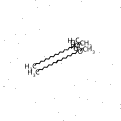 CCCCCCCCC=CCCCCCCCC(=O)OC(C)C.CCCCCCCCCCCCCCCCCC(=O)OC(C)C